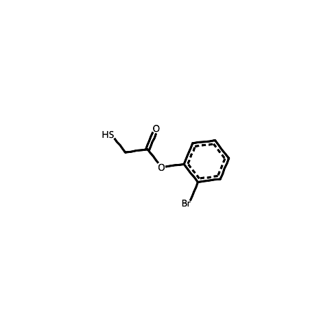 O=C(CS)Oc1ccccc1Br